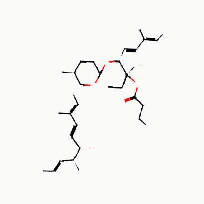 CCCCCC[C@@]1(OC(=O)CCC(=O)O)CC[C@]2(CC[C@H](C)[C@@H](C/C=C(C)/C=C/[C@H](O)[C@@H](C)/C=C/C(=O)O)O2)O[C@H]1/C=C/C(C)=C/C(=O)O